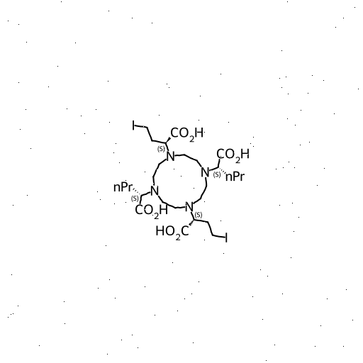 CCC[C@@H](C(=O)O)N1CCN([C@@H](CCI)C(=O)O)CCN([C@@H](CCC)C(=O)O)CCN([C@@H](CCI)C(=O)O)CC1